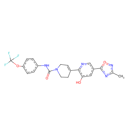 Cc1noc(-c2cnc(C3=CCN(C(=O)Nc4ccc(OC(F)(F)F)cc4)CC3)c(O)c2)n1